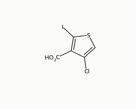 O=C(O)c1c(Cl)csc1I